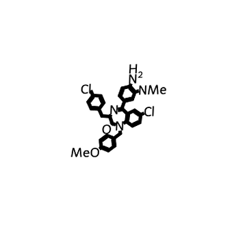 CNc1cc(C2=NC(Cc3ccc(Cl)cc3)C(=O)N(Cc3ccc(OC)cc3)c3ccc(Cl)cc32)ccc1N